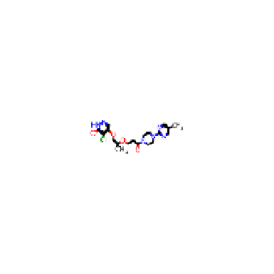 CC(COc1cn[nH]c(=O)c1Cl)OCCC(=O)N1CCN(c2ncc(C(F)(F)F)cn2)CC1